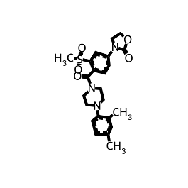 Cc1ccc(N2CCN(C(=O)c3ccc(N4CCOC4=O)cc3S(C)(=O)=O)CC2)c(C)c1